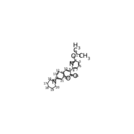 CC(C)Oc1cccc(-c2cc3ccc(N4CCCCC4)cc3oc2=O)n1